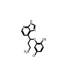 N#Cc1ccc(Cl)cc1OC(CCN)c1ccnc2[nH]cnc12